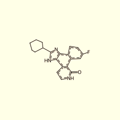 O=c1[nH]ccc2c3[nH]c(C4CCCCC4)nc3c3ccc(F)cc3c12